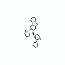 c1ccc(-c2nccc(-n3c4cc5sc6ccccc6c5cc4c4ncccc43)n2)cc1